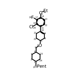 CCCCCC1CCC(COC2CC=C(c3ccc(OCC)c(F)c3Cl)CC2)CC1